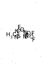 Cc1ncsc1-c1cc(OC2CN(C(=O)N3N=CCC3c3cc(F)cc(F)c3)C2)c(F)cn1